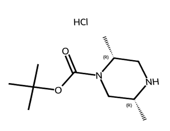 C[C@@H]1CN(C(=O)OC(C)(C)C)[C@H](C)CN1.Cl